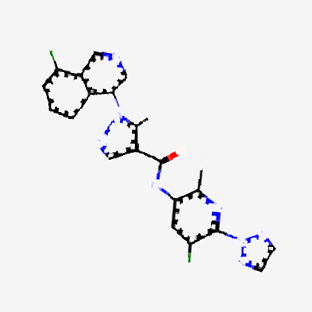 Cc1nc(-n2nccn2)c(Cl)cc1NC(=O)c1cnn(-c2cncc3c(F)cccc23)c1C(F)(F)F